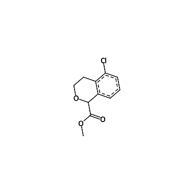 COC(=O)C1OCCc2c(Cl)cccc21